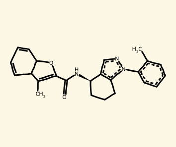 CC1=C(C(=O)N[C@@H]2CCCc3c2cnn3-c2ccccc2C)OC2C=CC=CC12